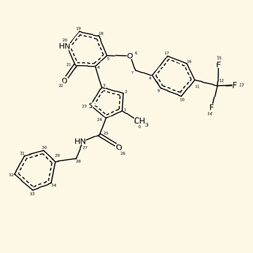 Cc1cc(-c2c(OCc3ccc(C(F)(F)F)cc3)cc[nH]c2=O)sc1C(=O)NCc1ccccc1